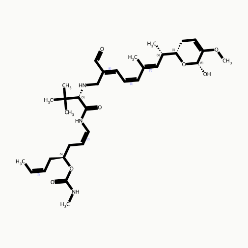 C/C=C\C[C@@H](C/C=C\NC(=O)[C@@H](NC\C(C=O)=C/C=C\C(C)=C\[C@H](C)[C@@H]1CC=C(OC)[C@H](O)O1)C(C)(C)C)OC(=O)NC